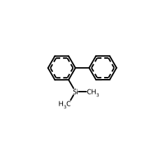 C[Si](C)c1ccccc1-c1ccccc1